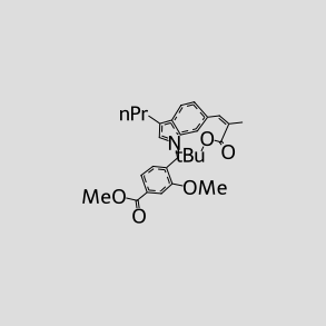 CCCc1cn(Cc2ccc(C(=O)OC)cc2OC)c2cc(C=C(C)C(=O)OC(C)(C)C)ccc12